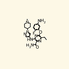 CCc1nc(C(N)=O)c(Nc2cnn(C3CCN(C)CC3)c2)nc1Oc1cc(N)ccc1F